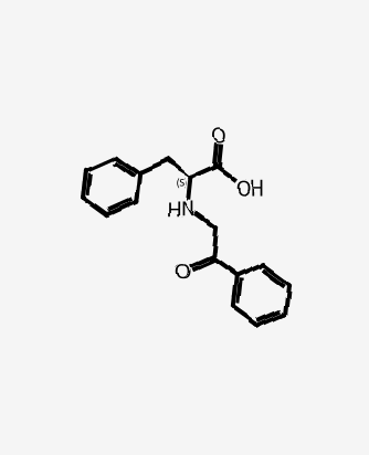 O=C(CN[C@@H](Cc1ccccc1)C(=O)O)c1ccccc1